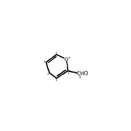 O=CC1=CCC=CO1